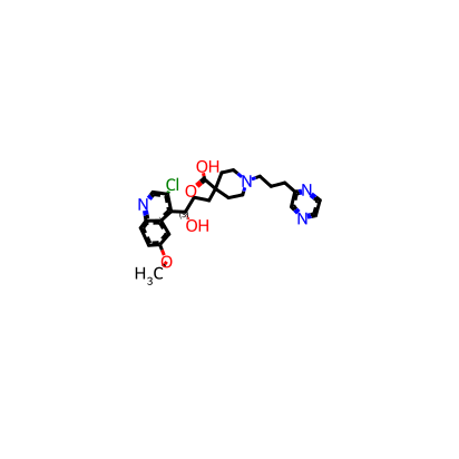 COc1ccc2ncc(Cl)c([C@@H](O)CCC3(C(=O)O)CCN(CCCc4cnccn4)CC3)c2c1